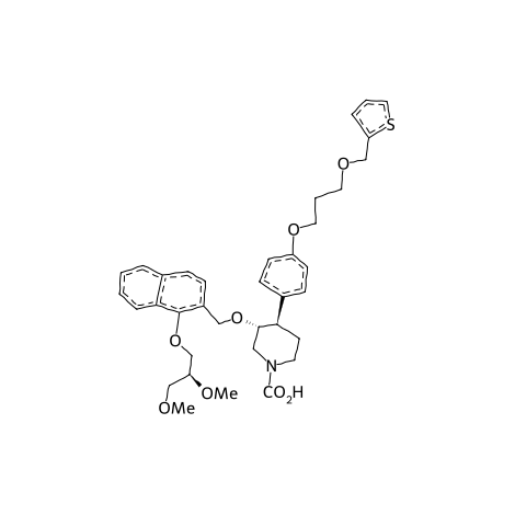 COC[C@@H](COc1c(CO[C@H]2CN(C(=O)O)CC[C@@H]2c2ccc(OCCCOCc3cccs3)cc2)ccc2ccccc12)OC